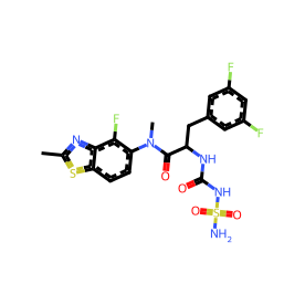 Cc1nc2c(F)c(N(C)C(=O)C(Cc3cc(F)cc(F)c3)NC(=O)NS(N)(=O)=O)ccc2s1